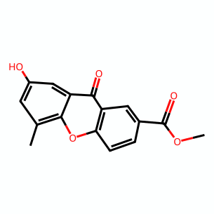 COC(=O)c1ccc2oc3c(C)cc(O)cc3c(=O)c2c1